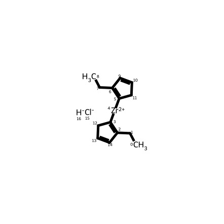 CCC1=[C]([Zr+2][C]2=C(CC)C=CC2)CC=C1.[Cl-].[H-]